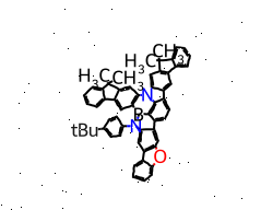 CC(C)(C)c1ccc(N2B3c4cc5c(cc4-n4c6cc7c(cc6c6ccc(c3c64)-c3cc4oc6ccccc6c4cc32)-c2ccccc2C7(C)C)C(C)(C)c2ccccc2-5)cc1